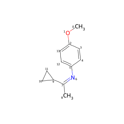 COc1ccc(/N=C(/C)C2CC2)cc1